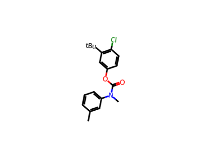 Cc1cccc(N(C)C(=O)Oc2ccc(Cl)c(C(C)(C)C)c2)c1